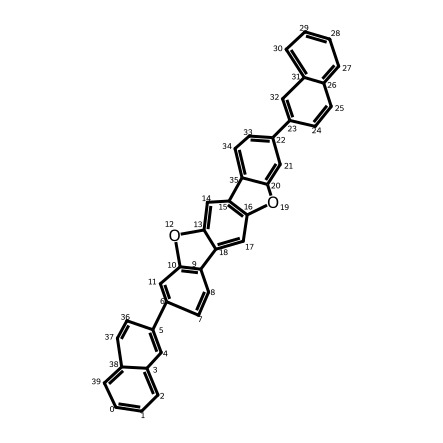 c1ccc2cc(-c3ccc4c(c3)oc3cc5c(cc34)oc3cc(-c4ccc6ccccc6c4)ccc35)ccc2c1